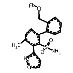 CCOCc1ccccc1-c1ccc(C)c(-c2ccon2)c1S(N)(=O)=O